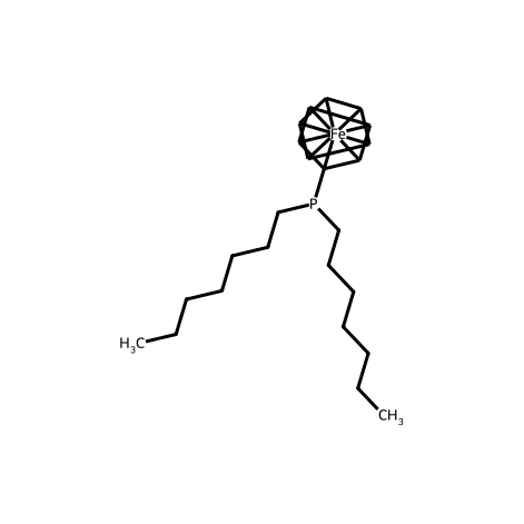 CCCCCCCP(CCCCCCC)[C]12[CH]3[CH]4[CH]5[CH]1[Fe]45321678[CH]2[CH]1[CH]6[CH]7[CH]28